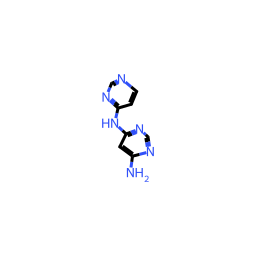 Nc1cc(Nc2ccncn2)ncn1